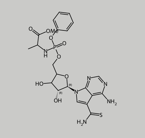 COC(=O)C(C)NP(=O)(OCC1O[C@@H](n2cc(C(N)=S)c3c(N)ncnc32)[C@H](O)C1O)Oc1ccccc1